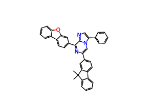 CC1(C)c2ccccc2-c2ccc(-c3cn4c(-c5ccccc5)cnc4c(-c4ccc5c(c4)oc4ccccc45)n3)cc21